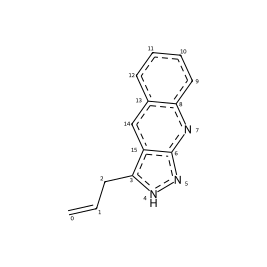 C=CCc1[nH]nc2nc3ccccc3cc12